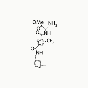 COC(=O)[C@H](CN)NC(=O)c1sc(C(=O)NCc2cccc(C)c2)cc1C(F)(F)F